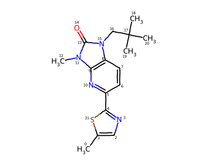 Cc1cnc(-c2ccc3c(n2)n(C)c(=O)n3CC(C)(C)C)s1